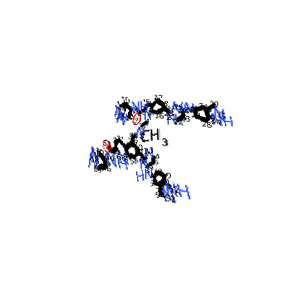 CN(CCn1c(C(=O)Nc2ccnnc2)cc2ccc(-c3nccc(Nc4ccc5[nH]ncc5c4)n3)cc21)Cc1cc(-c2nccc(Nc3ccc4[nH]ncc4c3)n2)cc2nc(C(=O)Nc3ccnnc3)ccc12